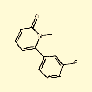 Cn1c(-c2cc[c]c(F)c2)cccc1=O